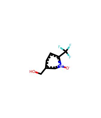 [O-][n+]1cc(CO)ccc1C(F)(F)F